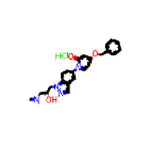 CN(C)C[C@@H](O)Cn1ncc2cc(-n3ccc(OCc4ccccc4)cc3=O)ccc21.Cl